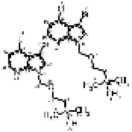 C[Si](C)(C)CCOCn1cc(Br)c2c(Cl)ccnc21.C[Si](C)(C)CCOCn1cc(Br)c2c(Cl)ccnc21